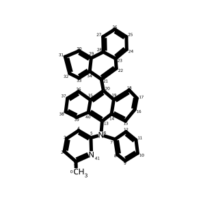 Cc1cccc(N(c2ccccc2)c2c3ccccc3c(-c3cc4ccccc4c4ccccc34)c3ccccc23)n1